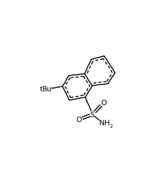 CC(C)(C)c1cc(S(N)(=O)=O)c2ccccc2c1